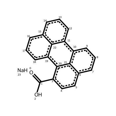 O=C(O)c1ccc2cccc3c4cccc5cccc(c1c23)c54.[NaH]